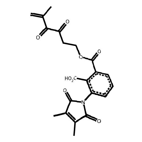 C=C(C)C(=O)C(=O)CCOC(=O)c1cccc(N2C(=O)C(C)=C(C)C2=O)c1C(=O)O